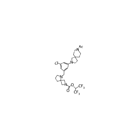 CC(=O)N1CCC2(CC1)CCN(c1cc(Cl)cc(CN3CCCC34CN(C(=O)OC(C(F)(F)F)C(F)(F)F)C4)c1)C2